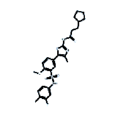 COc1ccc(-c2sc(NC(=O)CCC3CCCC3)nc2C)cc1S(=O)(=O)Nc1ccc(C)c(Cl)c1